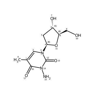 Cc1cn([C@H]2C[C@H](O)[C@@H](CO)O2)c(=O)n(N)c1=O